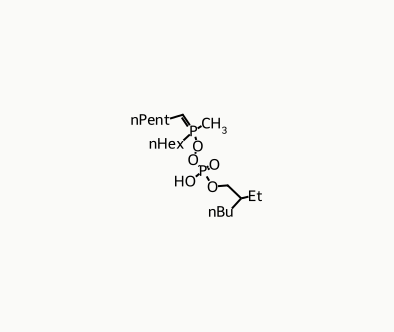 CCCCCC=P(C)(CCCCCC)OOP(=O)(O)OCC(CC)CCCC